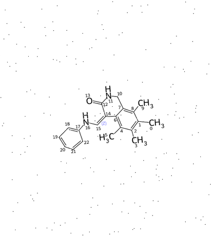 Cc1c(C)c(C)c2c(c1C)CNC(=O)/C2=C\Nc1ccccc1